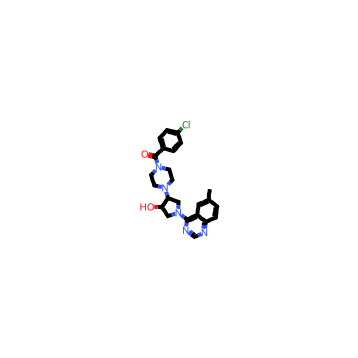 Cc1ccc2ncnc(N3CC(O)C(N4CCN(C(=O)c5ccc(Cl)cc5)CC4)C3)c2c1